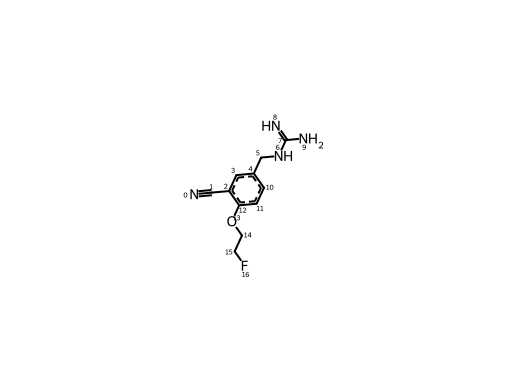 N#Cc1cc(CNC(=N)N)ccc1OCCF